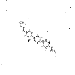 CCCCc1ccc(-c2ccc(-c3ccc(CC)nc3)cc2)c(F)c1